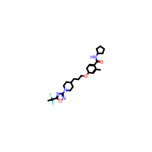 CC1=CC(OCCCC2CCN(c3noc(C(C)(F)F)n3)CC2)CC=C1C(=O)NC1CCCC1